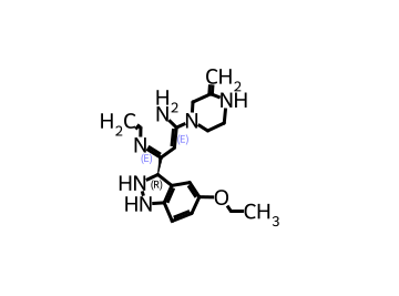 C=C/N=C(\C=C(/N)N1CCNC(=C)C1)[C@@H]1NNc2ccc(OCC)cc21